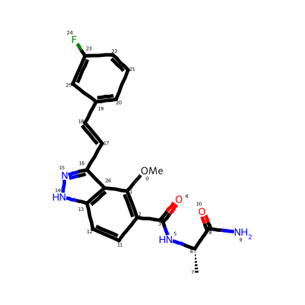 COc1c(C(=O)N[C@@H](C)C(N)=O)ccc2[nH]nc(/C=C/c3cccc(F)c3)c12